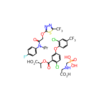 CC(C)N(C(=O)COc1nnc(C(F)(F)F)s1)c1ccc(F)cc1.C[C@H](OC(=O)c1cc(Oc2ccc(C(F)(F)F)cc2Cl)ccc1Cl)C(=O)O.O=C(O)CNCP(=O)(O)O